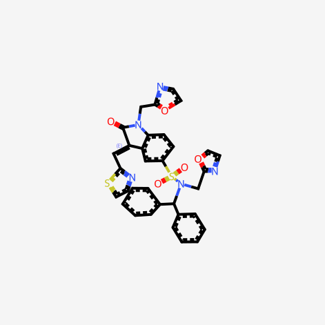 O=C1/C(=C/c2nccs2)c2cc(S(=O)(=O)N(Cc3ncco3)C(c3ccccc3)c3ccccc3)ccc2N1Cc1ncco1